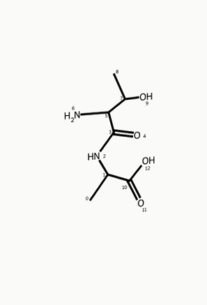 CC(NC(=O)C(N)C(C)O)C(=O)O